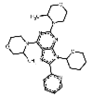 CC1COCCN1c1nc(N2CCOCC2C)c2nc(-c3ccccn3)n(C3CCCCO3)c2n1